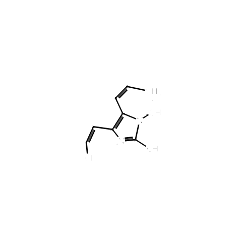 C/C=C\c1nc(C)n(C)c1/C=C\C